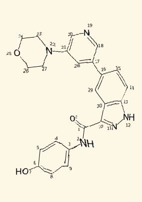 O=C(Nc1ccc(O)cc1)c1n[nH]c2ccc(-c3cncc(N4CCOCC4)c3)cc12